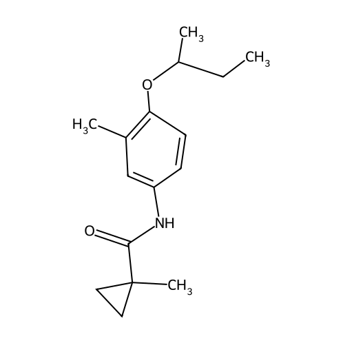 CCC(C)Oc1ccc(NC(=O)C2(C)CC2)cc1C